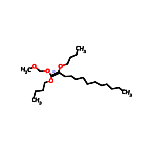 CCCCCCCCCCC/C(OCCCC)=C(\OCCCC)OCOC